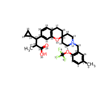 Cc1ccc(OC(F)(F)F)c(CN2CCC3(CCc4ccc(C(C5CC5)C(C)C(=O)O)cc4O3)CC2)c1